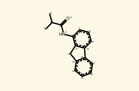 CC(C)C(=O)Nc1cccc2c1Cc1ccccc1-2